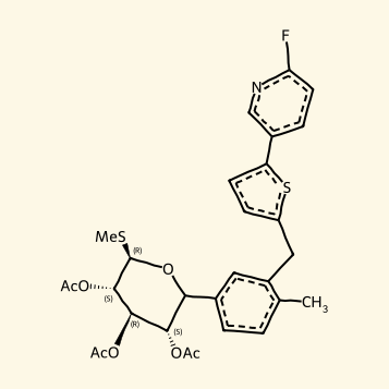 CS[C@H]1OC(c2ccc(C)c(Cc3ccc(-c4ccc(F)nc4)s3)c2)[C@H](OC(C)=O)[C@@H](OC(C)=O)[C@@H]1OC(C)=O